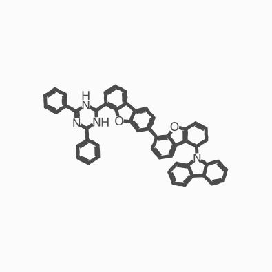 C1=CC2c3ccccc3N(C3CC=Cc4oc5c(-c6ccc7c(c6)oc6c(C8NC(c9ccccc9)=NC(c9ccccc9)N8)cccc67)cccc5c43)C2C=C1